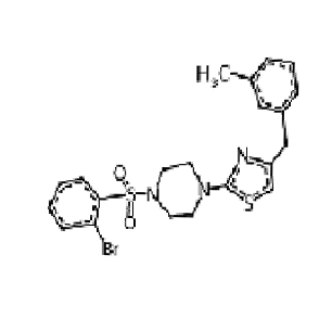 Cc1cccc(Cc2csc(N3CCN(S(=O)(=O)c4ccccc4Br)CC3)n2)c1